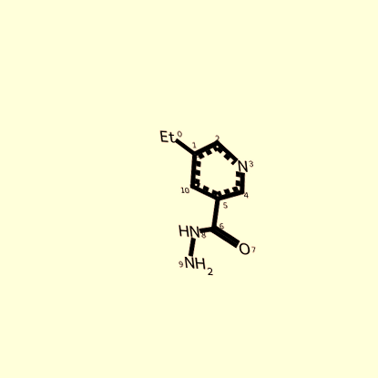 CCc1cncc(C(=O)NN)c1